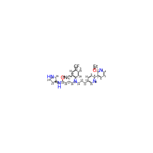 CCOc1ncccc1-c1ccc(CCCN(CCCC(=O)N[C@@H]2CCNC2)c2ccc(C(F)(F)F)cc2C#N)cn1